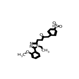 CCn1c(CCC(=O)Cc2ccc([SH](=O)=O)cc2)nnc1-c1ccccc1OC